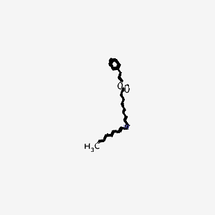 CCCCCCCC/C=C\CCCCCCCC(=O)OCCCc1ccccc1